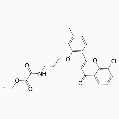 CCOC(=O)C(=O)NCCCOc1cc(C)ccc1-c1cc(=O)c2cccc(Cl)c2o1